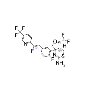 NC1=N[C@@]2(c3cc(/C=C(\F)c4ccc(C(F)(F)F)cn4)ccc3F)CO[C@H](C(F)F)[C@H]2CS1